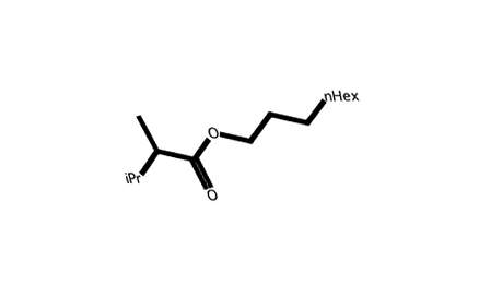 CCCCCCCCCOC(=O)C(C)C(C)C